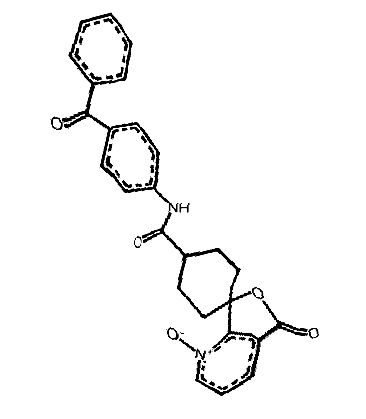 O=C(c1ccccc1)c1ccc(NC(=O)C2CCC3(CC2)OC(=O)c2ccc[n+]([O-])c23)cc1